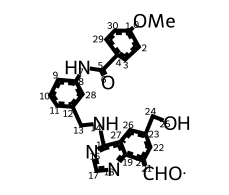 COc1ccc(C(=O)Nc2cccc(CNc3ncnc4c([C]=O)cc(CO)cc34)c2)cc1